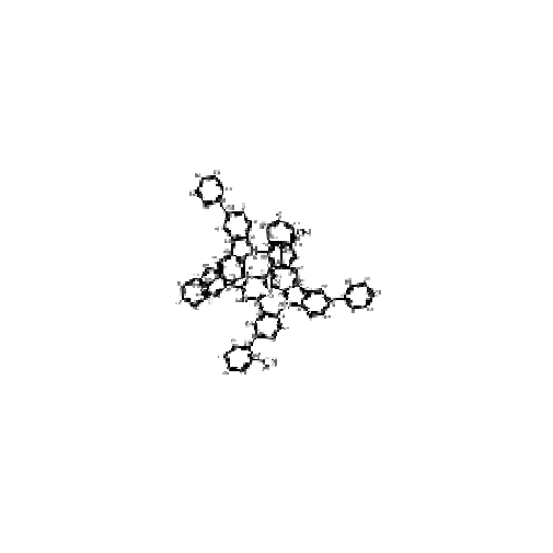 N#Cc1ccc(-c2nc(-c3ccccc3)nc(-c3cc(-c4ccccc4C#N)ccc3-n3c4ccc(-c5ccccc5)cc4c4cc(-c5ccccc5)ccc43)n2)c(-n2c3ccc(-c4ccccc4)cc3c3cc(-c4ccccc4)ccc32)c1